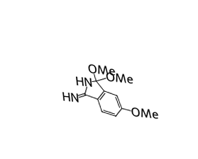 COc1ccc2c(c1)C(OC)(OC)NC2=N